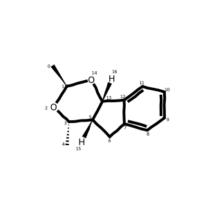 C[C@@H]1O[C@@H](C)[C@H]2Cc3ccccc3[C@H]2O1